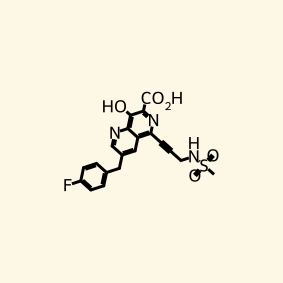 CS(=O)(=O)NCC#Cc1nc(C(=O)O)c(O)c2ncc(Cc3ccc(F)cc3)cc12